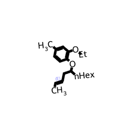 C/C=C/CC(CCCCCC)Oc1ccc(C)cc1OCC